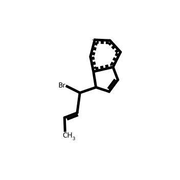 C/C=C/C(Br)C1C=Cc2cc[c]cc21